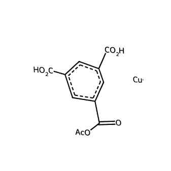 CC(=O)OC(=O)c1cc(C(=O)O)cc(C(=O)O)c1.[Cu]